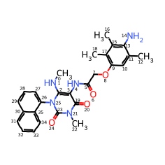 CNc1c(NC(=O)COc2cc(C)c(N)c(C)c2C)c(=O)n(C)c(=O)n1-c1cccc2ccccc12